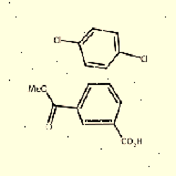 COC(=O)c1cccc(C(=O)O)c1.Clc1ccc(Cl)cc1